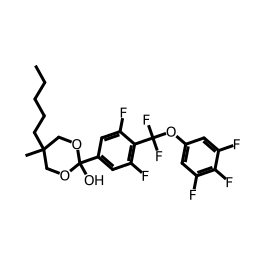 CCCCCC1(C)COC(O)(c2cc(F)c(C(F)(F)Oc3cc(F)c(F)c(F)c3)c(F)c2)OC1